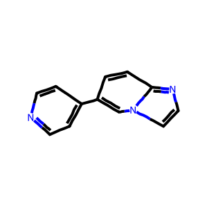 c1cc(-c2ccc3nccn3c2)ccn1